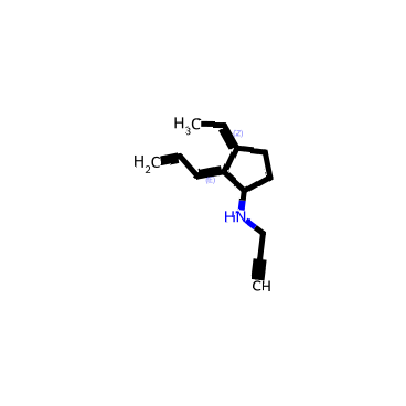 C#CCNC1CCC(=C/C)/C1=C\C=C